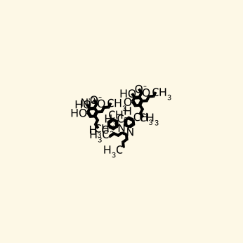 CCCCC(=Nc1cc(C)cc(C)c1)C(CCCC)=Nc1cc(C)cc(C)c1.CCCCc1c(CCC)cc(O)c(O)c1C(=O)[O-].CCCCc1c(CCC)cc(O)c(O)c1C(=O)[O-].[Ni+2]